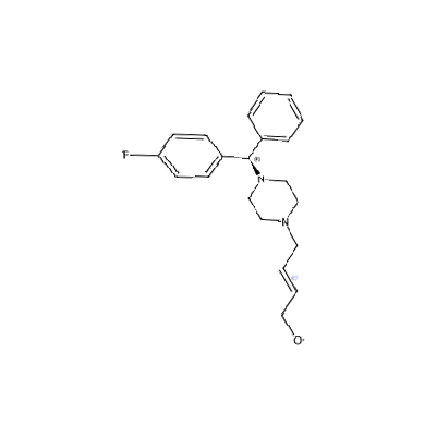 [O]C/C=C/CN1CCN([C@H](c2ccccc2)c2ccc(F)cc2)CC1